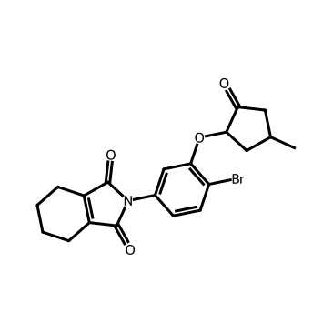 CC1CC(=O)C(Oc2cc(N3C(=O)C4=C(CCCC4)C3=O)ccc2Br)C1